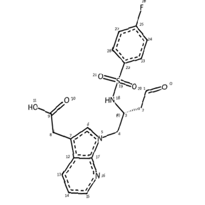 O=CC[C@H](Cn1cc(CC(=O)O)c2cccnc21)NS(=O)(=O)c1ccc(F)cc1